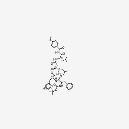 COc1ccc(C(=O)NC(=O)[C@H](CC(C)C)NC(=O)C[C@H](O)[C@H](CC(C)C)NC(=O)[C@H](Cc2c[nH]cn2)NC(=O)[C@H](Cc2ccccc2)NC(=O)OC(C)(C)C)cc1